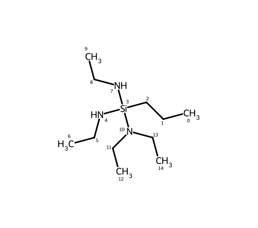 CCC[Si](NCC)(NCC)N(CC)CC